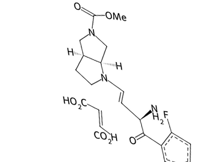 COC(=O)N1C[C@@H]2CCN(C=C[C@@H](N)C(=O)c3cc(F)c(F)cc3F)[C@@H]2C1.O=C(O)/C=C/C(=O)O